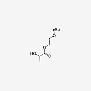 CCCCOCCOC(=O)C(C)O